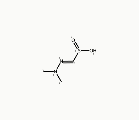 CN(C)N=CS(=O)O